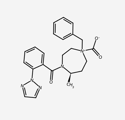 C[C@@H]1CC[N+](Cc2ccccc2)(C(=O)[O-])CCN1C(=O)c1ccccc1-n1nccn1